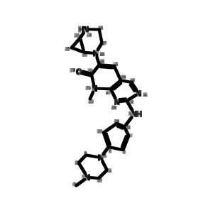 CN1CCN(c2ccc(Nc3ncc4cc(N5CCNC6CC65)c(=O)n(C)c4n3)cc2)CC1